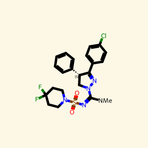 CNC(=NS(=O)(=O)N1CCC(F)(F)CC1)N1C[C@H](c2ccccc2)C(c2ccc(Cl)cc2)=N1